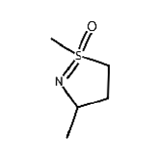 CC1CCS(C)(=O)=N1